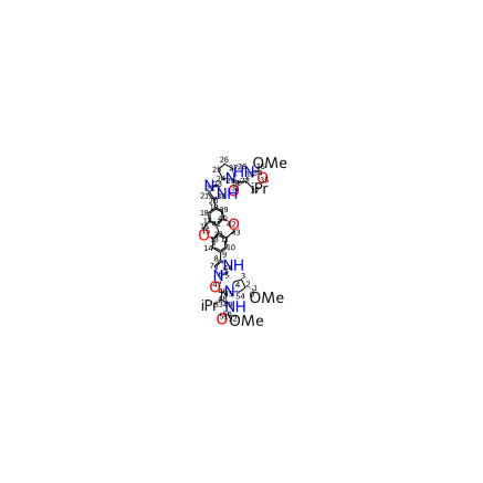 COC[C@H]1C[C@@H](c2ncc(-c3cc4c5c(c3)OCc3cc(-c6cnc([C@@H]7CC[C@H](C)N7C(=O)[C@@H](NC(=O)OC)C(C)C)[nH]6)cc(c3-5)OC4)[nH]2)N(C(=O)C(NC(=O)OC)C(C)C)C1